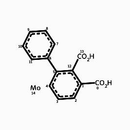 O=C(O)c1cccc(-c2ccccc2)c1C(=O)O.[Mo]